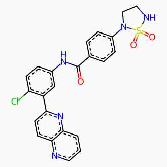 O=C(Nc1ccc(Cl)c(-c2ccc3ncccc3n2)c1)c1ccc(N2CCNS2(=O)=O)cc1